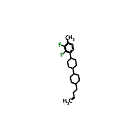 C=CCCC1CCC(C2CCC(c3ccc(C)c(F)c3F)CC2)CC1